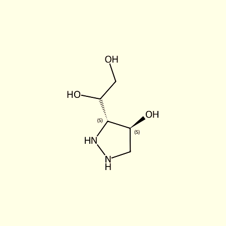 OCC(O)[C@H]1NNC[C@@H]1O